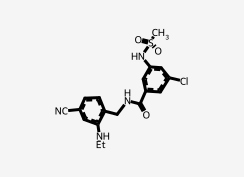 CCNc1cc(C#N)ccc1CNC(=O)c1cc(Cl)cc(NS(C)(=O)=O)c1